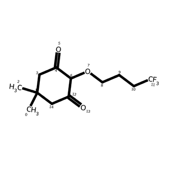 CC1(C)CC(=O)C(OCCCC(F)(F)F)C(=O)C1